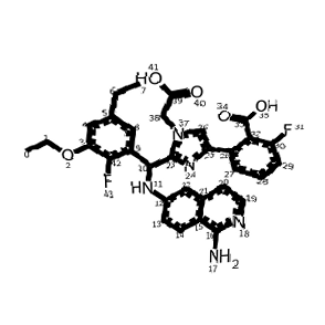 CCOc1cc(CC)cc(C(Nc2ccc3c(N)nccc3c2)c2nc(-c3cccc(F)c3C(=O)O)cn2CC(=O)O)c1F